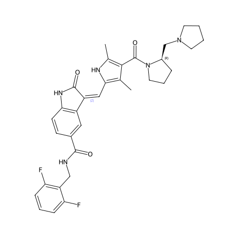 Cc1[nH]c(/C=C2\C(=O)Nc3ccc(C(=O)NCc4c(F)cccc4F)cc32)c(C)c1C(=O)N1CCC[C@@H]1CN1CCCC1